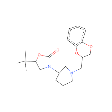 CC(C)(C)C1CN(C2CCCN(CC3COc4ccccc4O3)C2)C(=O)O1